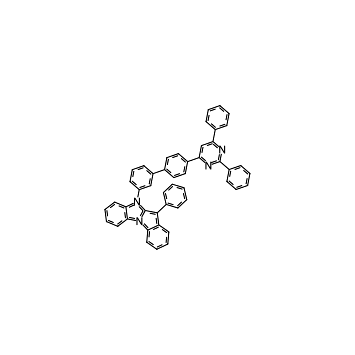 c1ccc(-c2cc(-c3ccc(-c4cccc(-n5c6ccccc6n6c7ccccc7c(-c7ccccc7)c56)c4)cc3)nc(-c3ccccc3)n2)cc1